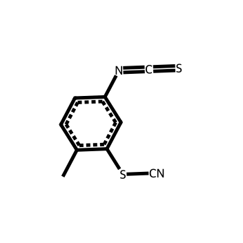 Cc1ccc(N=C=S)cc1SC#N